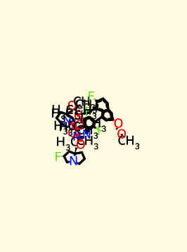 COCOc1cc(-c2c(F)c(OC)c3c(N4CC5CCC(COC)(C4)N5C(=O)OC(C)(C)C)nc(OC[C@@]45CCCN4C[C@H](F)C5)nc3c2F)c2c(C#C[Si](C(C)C)(C(C)C)C(C)C)c(F)ccc2c1